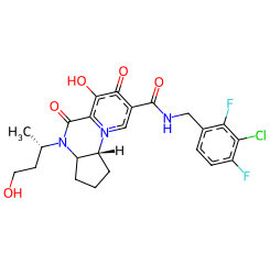 C[C@@H](CCO)N1C(=O)c2c(O)c(=O)c(C(=O)NCc3ccc(F)c(Cl)c3F)cn2[C@@H]2CCCC21